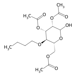 CCCCO[C@H]1[C@H](OC(C)=O)[C@H](OC(C)=O)C(O)O[C@@H]1COC(C)=O